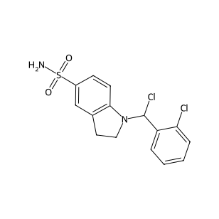 NS(=O)(=O)c1ccc2c(c1)CCN2C(Cl)c1ccccc1Cl